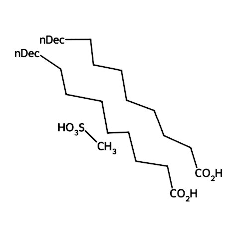 CCCCCCCCCCCCCCCCCC(=O)O.CCCCCCCCCCCCCCCCCC(=O)O.CS(=O)(=O)O